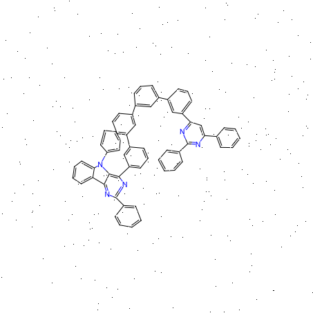 c1ccc(-c2cc(-c3cccc(-c4cccc(-c5cccc(-c6cccc(-c7nc(-c8ccccc8)nc8c9ccccc9n(-c9ccccc9)c78)c6)c5)c4)c3)nc(-c3ccccc3)n2)cc1